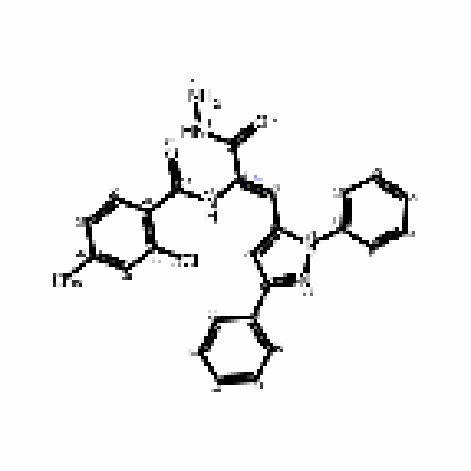 NNC(=O)/C(=C/c1cc(-c2ccccc2)nn1-c1ccccc1)NC(=O)c1ccc(Cl)cc1Cl